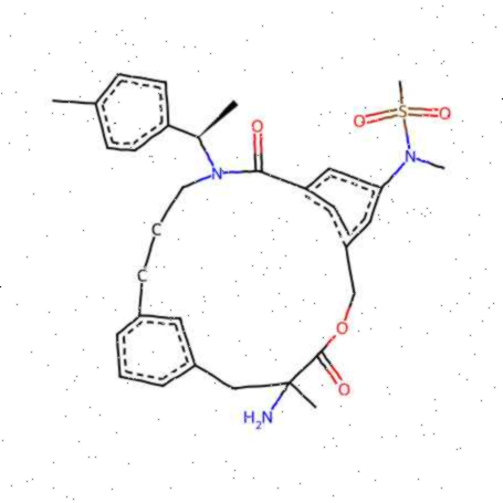 Cc1ccc([C@@H](C)N2CCCc3cccc(c3)CC(C)(N)C(=O)OCc3cc(cc(N(C)S(C)(=O)=O)c3)C2=O)cc1